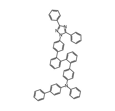 c1ccc(-c2ccc(N(c3ccccc3)c3ccc(-c4ccccc4-c4ccccc4-c4ccc(-n5nc(-c6ccccc6)nc5-c5ccccc5)cc4)cc3)cc2)cc1